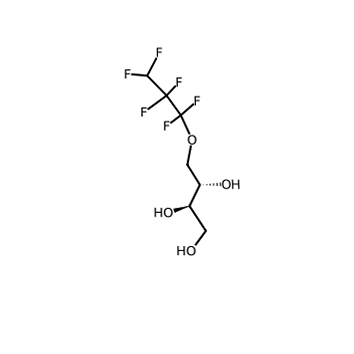 OC[C@@H](O)[C@@H](O)COC(F)(F)C(F)(F)C(F)F